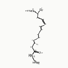 CCCCCC[C@@H](O)C/C=C\CCCCCCCC(=O)N[C](C)CCC